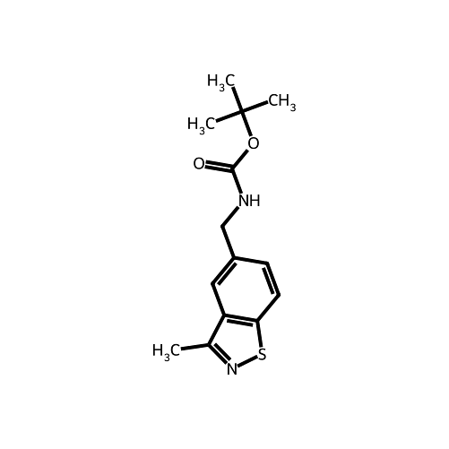 Cc1nsc2ccc(CNC(=O)OC(C)(C)C)cc12